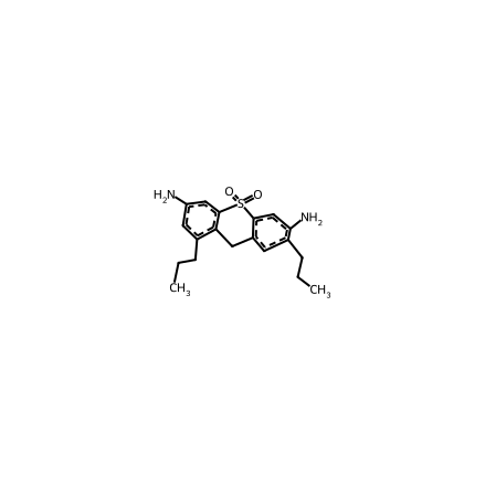 CCCc1cc2c(cc1N)S(=O)(=O)c1cc(N)cc(CCC)c1C2